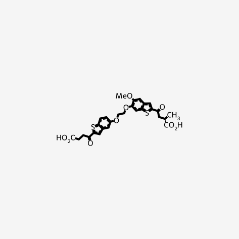 COc1cc2cc(C(=O)C[C@H](C)C(=O)O)sc2cc1OCCOc1ccc2sc(C(=O)CCC(=O)O)cc2c1